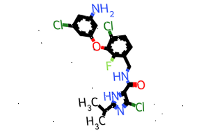 CC(C)c1nc(Cl)c(C(=O)NCc2ccc(Cl)c(Oc3cc(N)cc(Cl)c3)c2F)[nH]1